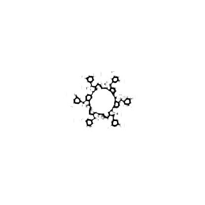 CCC1c2ccc(C(O)c3cc(C)cc(C)c3)c(c2)C(CC)c2ccc(C(O)c3cc(C)cc(C)c3)c(c2)C(CC)c2ccc(C(O)c3cc(C)cc(C)c3)c(c2)C(CC)c2ccc(C(O)c3cc(C)cc(C)c3)c(c2)C(CC)c2ccc(C(O)c3cc(C)cc(C)c3)c(c2)C(CC)c2ccc(C(O)c3cc(C)cc(C)c3)c1c2